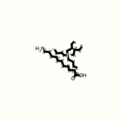 CCCC[N+](CCCC)(CCCC)CCCC.NCCCCCCCCCCC(=O)O